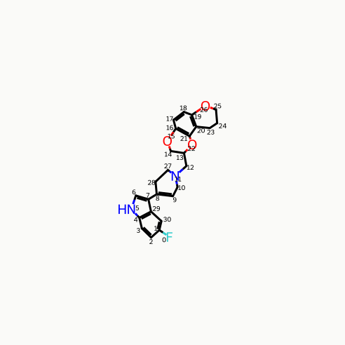 Fc1ccc2[nH]cc(C3=CCN(CC4COc5ccc6c(c5O4)CCCO6)CC3)c2c1